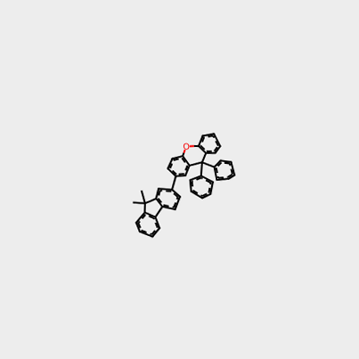 CC1(C)c2ccccc2-c2ccc(-c3ccc4c(c3)C(c3ccccc3)(c3ccccc3)c3ccccc3O4)cc21